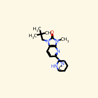 Cn1c(=O)n(CC(C)(C)C)c2ccc(N3CC4CCC3CN4)nc21